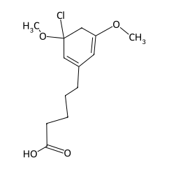 COC1=CC(CCCCC(=O)O)=CC(Cl)(OC)C1